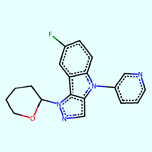 Fc1ccc2c(c1)c1c(cnn1C1CCCCO1)n2-c1cccnc1